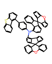 c1ccc2c(c1)Oc1ccccc1C21c2ccccc2-c2c(N(c3ccc(-c4cccc5sc6ccccc6c45)cc3)c3cccc4c3-c3ccccc3C43c4ccccc4Oc4ccccc43)cccc21